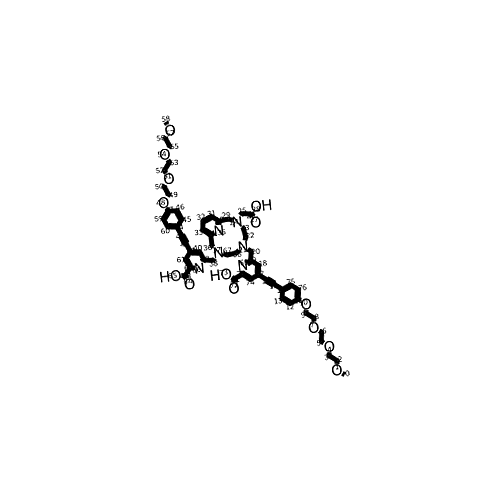 COCCOCCOCCOc1ccc(C#Cc2cc(CN3CCN(CC(=O)O)Cc4cccc(n4)CN(Cc4cc(C#Cc5ccc(OCCOCCOCCOC)cc5)cc(C(=O)O)n4)CC3)nc(C(=O)O)c2)cc1